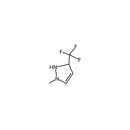 CN1[C]=CC(C(F)(F)F)N1